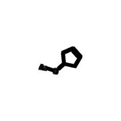 CC(=O)OC1CC=CC1